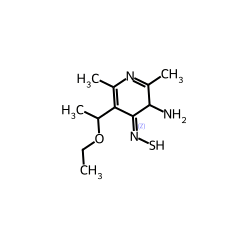 CCOC(C)C1=C(C)N=C(C)C(N)/C1=N\S